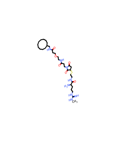 CNC(=N)NCCCC(N)C(=O)NCCSC1CC(=O)N(CCC(=O)NCCOCCC(=O)NCC2CCCCCCCCCC2)C1=O